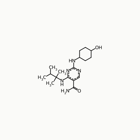 CC(C)C(C)(C)Nc1nc(NC2CCC(O)CC2)ncc1C(N)=O